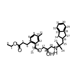 CCOC(=O)CCc1ccc(C)cc1[C@@H](C)OC[C@H](O)CNC(C)(C)CC1Cc2ccccc2C1